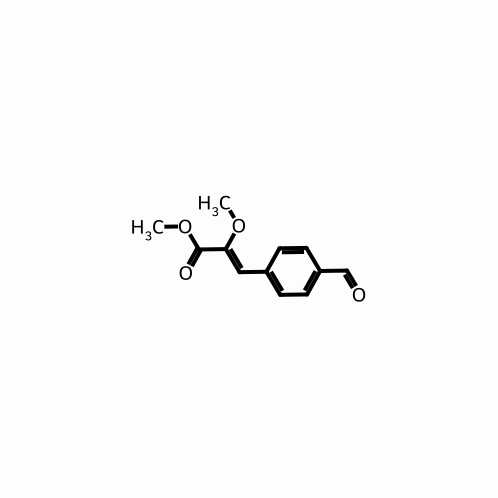 COC(=O)C(=Cc1ccc(C=O)cc1)OC